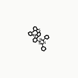 c1ccc(-c2nc(-c3ccccc3)nc(-c3cccc4c3c3ccc5sc6cccc7c8ccccc8n4c3c5c67)n2)cc1